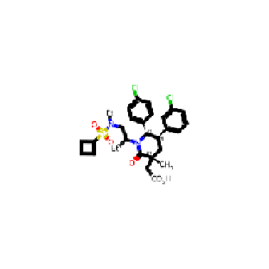 CCC(CN(CC)S(=O)(=O)C1CCC1)N1C(=O)[C@@](C)(CC(=O)O)C[C@H](c2cccc(Cl)c2)[C@H]1c1ccc(Cl)cc1